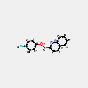 Fc1ccc(OCc2ccc3ccccc3n2)cc1